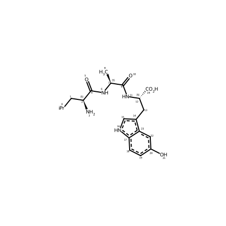 CC(C)C[C@H](N)C(=O)N[C@@H](C)C(=O)N[C@@H](Cc1c[nH]c2ccc(O)cc12)C(=O)O